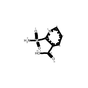 NS(=O)(=O)c1ncccc1C(=O)O